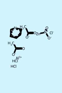 CC(=O)[O-].CC(=O)[O-].Cl.Cl.O=[N+]([O-])[Zn].[Al+3].[Cl-].c1ccncc1